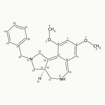 COc1cc(OC)c2c(c1)=CNC[C@H]1CN(Cc3ccccc3)CC=21